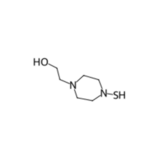 OCCN1CCN(S)CC1